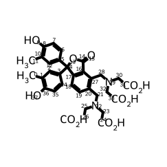 Cc1cc(C2(c3ccc(O)c(C)c3)OC(=O)c3c2ccc(CN(CC(=O)O)CC(=O)O)c3CN(CC(=O)O)CC(=O)O)ccc1O